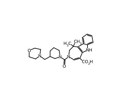 CC1(C)CN(C(=O)N2CCCC(CN3CCOCC3)C2)C=C(C(=O)O)c2[nH]c3ccccc3c21